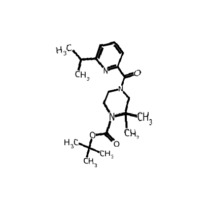 CC(C)c1cccc(C(=O)N2CCN(C(=O)OC(C)(C)C)C(C)(C)C2)n1